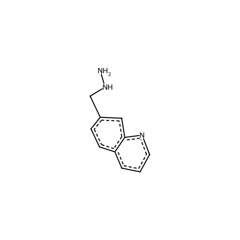 NNCc1ccc2cccnc2c1